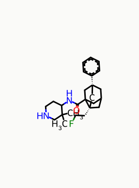 CC1(C)CNCCC1NC(=O)C12CC3C[C@](c4ccccc4)(C1)C[C@@]2(CCF)C3